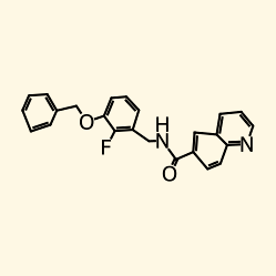 O=C(NCc1cccc(OCc2ccccc2)c1F)c1ccc2ncccc2c1